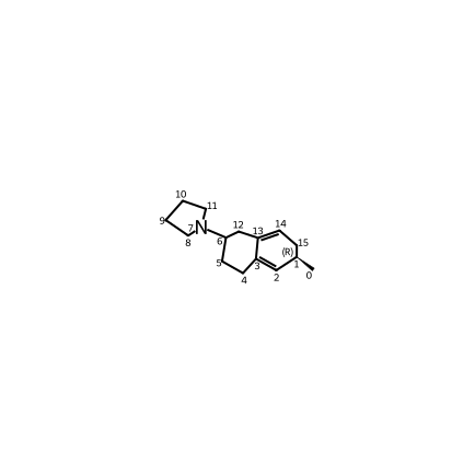 C[C@H]1C=C2CCC(N3CCCC3)CC2=CC1